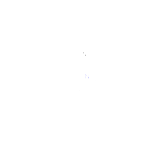 NCC(=O)[O-].[Ni+]=[CH]c1cccc2ccccc12